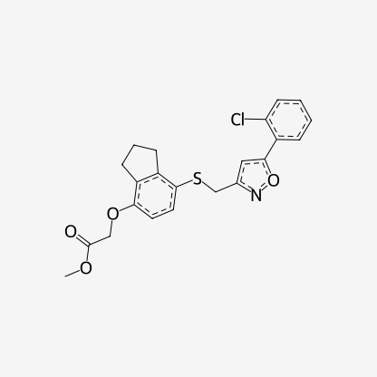 COC(=O)COc1ccc(SCc2cc(-c3ccccc3Cl)on2)c2c1CCC2